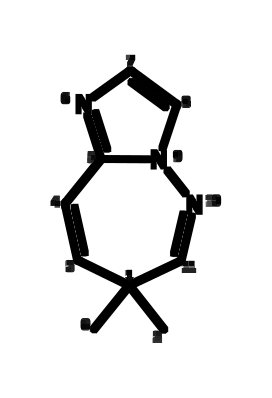 CC1(C)C=Cc2nccn2N=C1